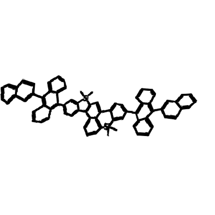 C[Si]1(C)c2cc(-c3c4ccccc4c(-c4ccc5ccccc5c4)c4ccccc34)ccc2-c2c1cc1c3c(cccc23)[Si](C)(C)c2cc(-c3c4ccccc4c(-c4ccc5ccccc5c4)c4ccccc34)ccc2-1